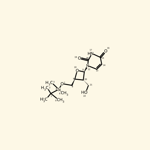 CC(C)(C)[Si](C)(C)OC[C@H]1O[C@@H](n2ccc(=O)[nH]c2=O)[C@@H]1CO